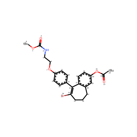 CC(C)(C)OC(=O)NCCOc1ccc(C2=C(Br)CCCc3cc(OC(=O)C(C)(C)C)ccc32)cc1